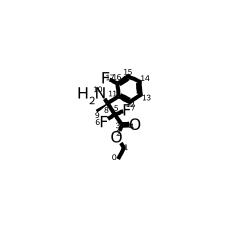 CCOC(=O)C(F)(F)[C@](C)(N)c1ccccc1F